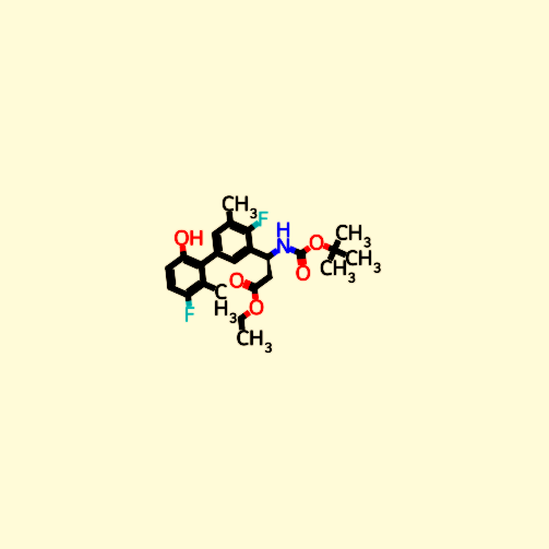 CCOC(=O)C[C@H](NC(=O)OC(C)(C)C)c1cc(-c2c(O)ccc(F)c2C)cc(C)c1F